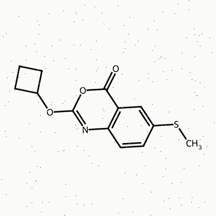 CSc1ccc2nc(OC3CCC3)oc(=O)c2c1